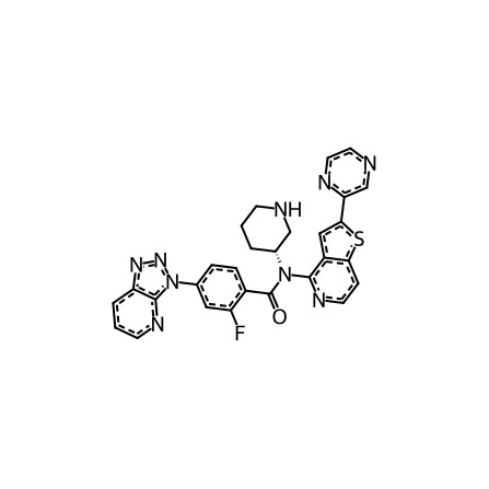 O=C(c1ccc(-n2nnc3cccnc32)cc1F)N(c1nccc2sc(-c3cnccn3)cc12)[C@@H]1CCCNC1